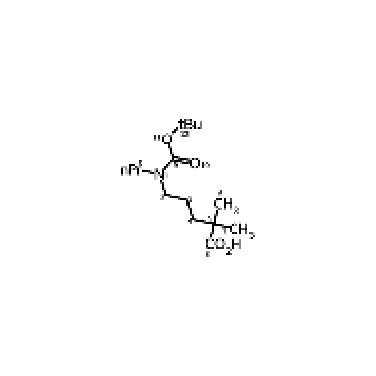 CCCN(CCCC(C)(C)C(=O)O)C(=O)OC(C)(C)C